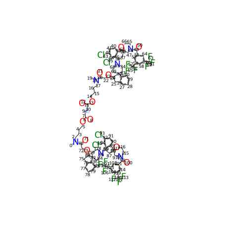 CN(CCCCOC(=O)/C=C/C(=O)OCCCCN(C)C(=O)CO[C@H]1Cc2ccccc2C12CCN(CC[C@]1(c3ccc(Cl)c(Cl)c3)CN(C(=O)c3cc(C(F)(F)F)cc(C(F)(F)F)c3)CCO1)CC2)C(=O)CO[C@H]1Cc2ccccc2C12CCN(CC[C@]1(c3ccc(Cl)c(Cl)c3)CN(C(=O)c3cc(C(F)(F)F)cc(C(F)(F)F)c3)CCO1)CC2